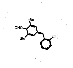 CC(C)(C)C1=CC(=Cc2ccccc2C(F)(F)F)C=C(C(C)(C)C)C1C=O